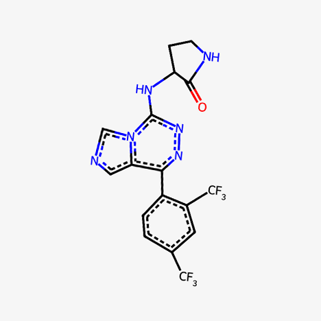 O=C1NCCC1Nc1nnc(-c2ccc(C(F)(F)F)cc2C(F)(F)F)c2cncn12